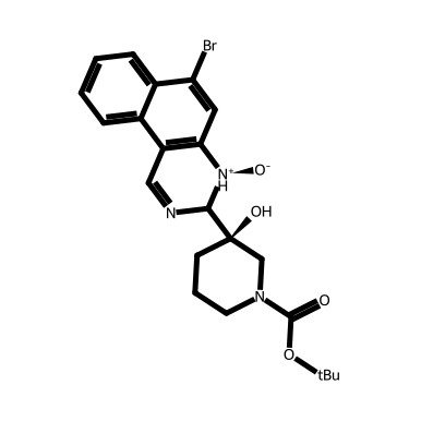 CC(C)(C)OC(=O)N1CCC[C@](O)(C2N=Cc3c(cc(Br)c4ccccc34)[N@H+]2[O-])C1